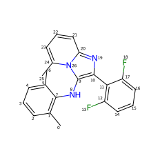 Cc1cccc(C)c1Nc1c(-c2c(F)cccc2F)nc2cccc(C)n12